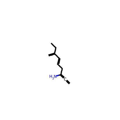 C=C=C(N)C/C=C/C(=C)CC